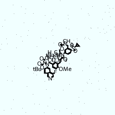 COc1ccc(C(C(=O)O)N(c2ccc3cncc(F)c3c2)N(C(=O)OC(C)(C)C)C(=O)OC(C)(C)C)cc1CCC(=O)Nc1ccc(S(=O)(=O)C2CC2)c(CN(C)C(=O)OCC[Si](C)(C)C)c1